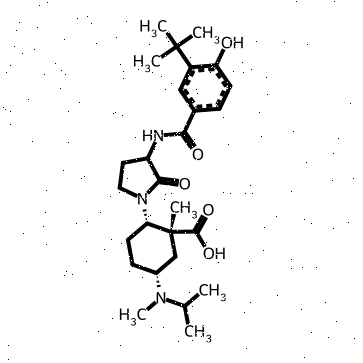 CC(C)N(C)[C@@H]1CC[C@H](N2CCC(NC(=O)c3ccc(O)c(C(C)(C)C)c3)C2=O)[C@](C)(C(=O)O)C1